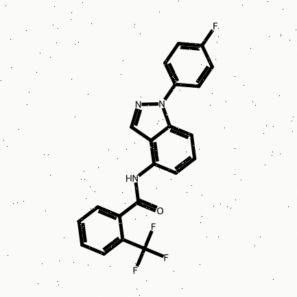 O=C(Nc1cccc2c1cnn2-c1ccc(F)cc1)c1ccccc1C(F)(F)F